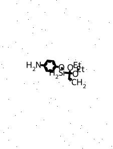 C=CC(OCC)(OCC)[SiH2]Oc1ccc(N)cc1